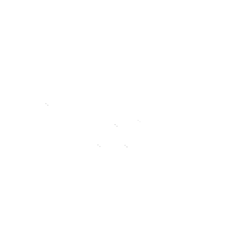 N#Cc1ccc(-c2nc(-c3ccccc3)nc(-n3c4ccccc4c4c5c(ccc43)-c3cccc4cccc-5c34)n2)cc1